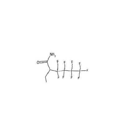 CCC(C(N)=O)C(F)(F)C(F)(F)C(F)(F)C(F)(F)F